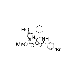 COC(=O)[C@@H]1C[C@@H](O)CN1C(=O)C(NC(=O)c1ccc(Br)cc1)C1CCCCC1